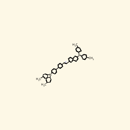 CC1=CC23C=C(C)CC=C2N(c2ccc(-c4ccc(/C=C/c5ccc6cc(N(c7ccc(C)cc7)c7ccc(C)cc7)ccc6c5)cc4)cc2)C3C=C1